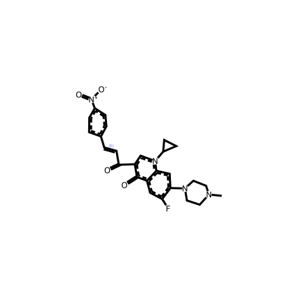 CN1CCN(c2cc3c(cc2F)c(=O)c(C(=O)/C=C/c2ccc([N+](=O)[O-])cc2)cn3C2CC2)CC1